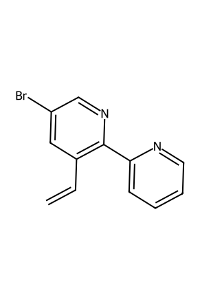 C=Cc1cc(Br)cnc1-c1ccccn1